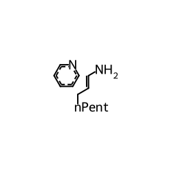 CCCCCCC=CN.c1ccncc1